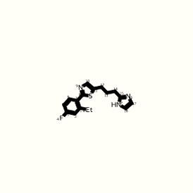 CCc1cc(F)ccc1-c1ncc(CCCc2ncc[nH]2)s1